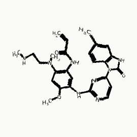 C=CC(=O)Nc1cc(Nc2nccc(-n3c(=O)[nH]c4cc(C)ccc43)n2)c(OC)cc1N(C)CCNC